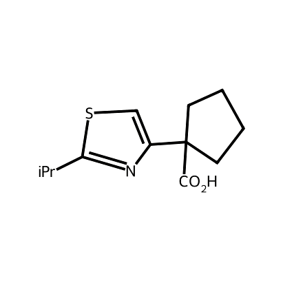 CC(C)c1nc(C2(C(=O)O)CCCC2)cs1